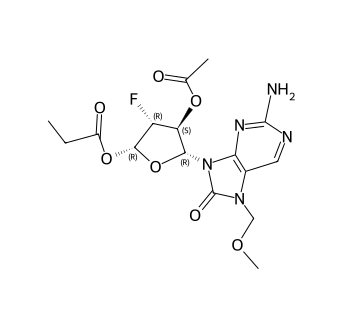 CCC(=O)O[C@H]1O[C@@H](n2c(=O)n(COC)c3cnc(N)nc32)[C@H](OC(C)=O)[C@H]1F